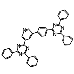 c1ccc(-c2nc(-c3ccccc3)nc(-c3ccc(-c4cncc(-c5nc(-c6ccccc6)nc(-c6ccccc6)n5)c4)cc3)n2)cc1